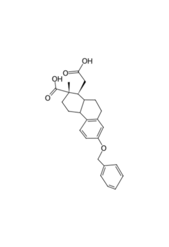 C[C@]1(C(=O)O)CCC2c3ccc(OCc4ccccc4)cc3CCC2[C@@H]1CC(=O)O